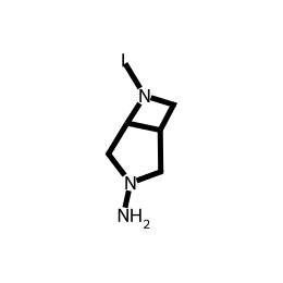 NN1CC2CN(I)C2C1